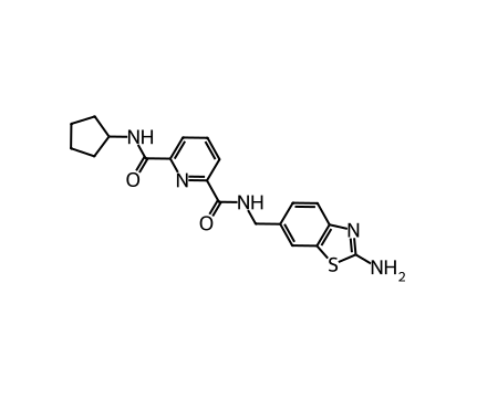 Nc1nc2ccc(CNC(=O)c3cccc(C(=O)NC4CCCC4)n3)cc2s1